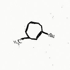 CCCCC1=CC(C)CCC1